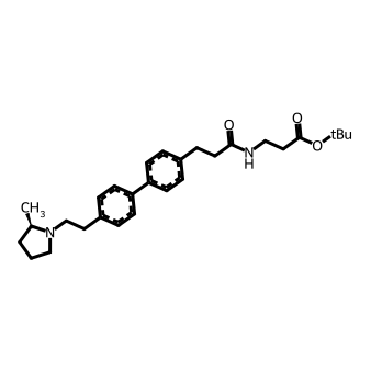 C[C@@H]1CCCN1CCc1ccc(-c2ccc(CCC(=O)NCCC(=O)OC(C)(C)C)cc2)cc1